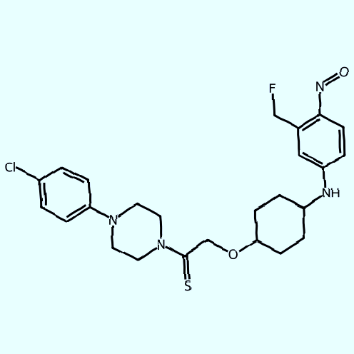 O=Nc1ccc(NC2CCC(OCC(=S)N3CCN(c4ccc(Cl)cc4)CC3)CC2)cc1CF